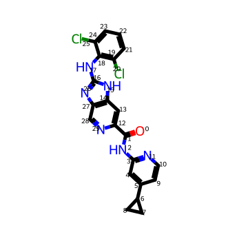 O=C(Nc1cc(C2CC2)ccn1)c1cc2[nH]c(Nc3c(Cl)cccc3Cl)nc2cn1